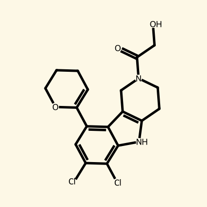 O=C(CO)N1CCc2[nH]c3c(Cl)c(Cl)cc(C4=CCCCO4)c3c2C1